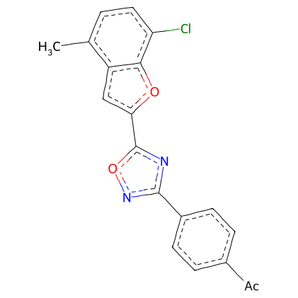 CC(=O)c1ccc(-c2noc(-c3cc4c(C)ccc(Cl)c4o3)n2)cc1